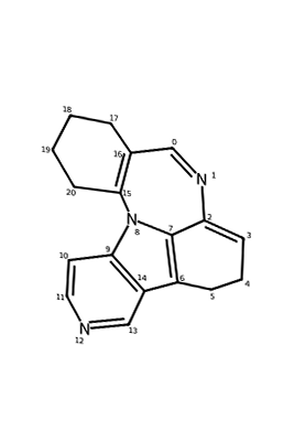 C1=NC2=CCCc3c2n(c2ccncc32)C2=C1CCCC2